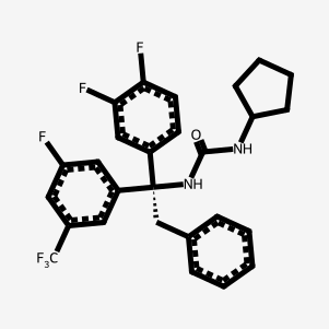 O=C(NC1CCCC1)N[C@@](Cc1ccccc1)(c1cc(F)cc(C(F)(F)F)c1)c1ccc(F)c(F)c1